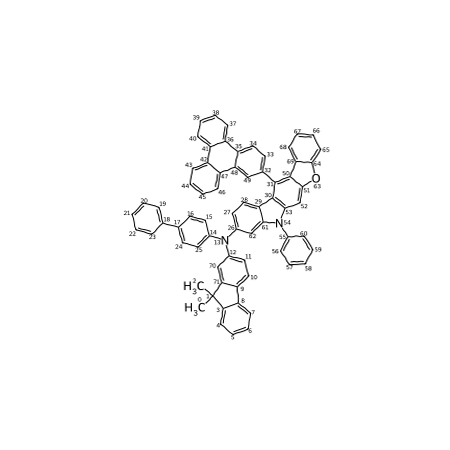 CC1(C)c2ccccc2-c2ccc(N(c3ccc(-c4ccccc4)cc3)c3ccc4c5c(-c6ccc7c8ccccc8c8ccccc8c7c6)c6c(cc5n(-c5ccccc5)c4c3)oc3ccccc36)cc21